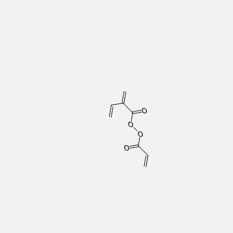 C=CC(=C)C(=O)OOC(=O)C=C